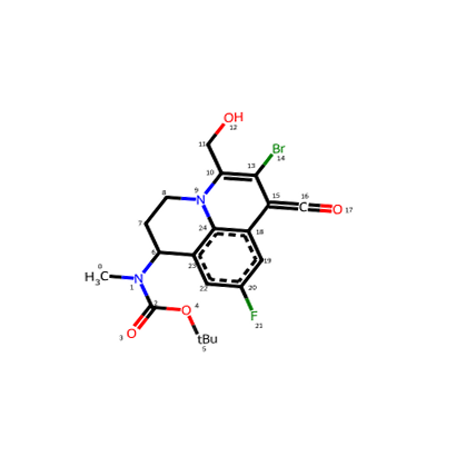 CN(C(=O)OC(C)(C)C)C1CCN2C(CO)=C(Br)C(=C=O)c3cc(F)cc1c32